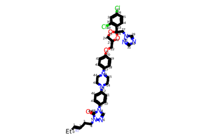 CC/C=C/CCn1ncn(-c2ccc(N3CCN(c4ccc(OCC5COC(Cn6cncn6)(c6ccc(Cl)cc6Cl)O5)cc4)CC3)cc2)c1=O